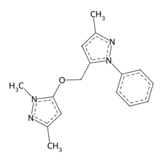 Cc1cc(OCc2cc(C)nn2-c2ccccc2)n(C)n1